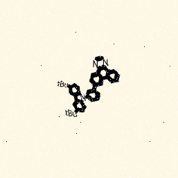 CC(C)(C)c1ccc2c(c1)c1cc(C(C)(C)C)ccc1n2-c1cccc(-c2ccc3c(c2)c2ccccc2c2nccnc32)c1